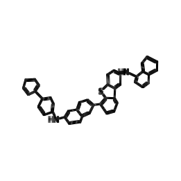 c1ccc(-c2ccc(Nc3ccc4cc(-c5cccc6c5sc5ccc(Nc7cccc8ccccc78)cc56)ccc4c3)cc2)cc1